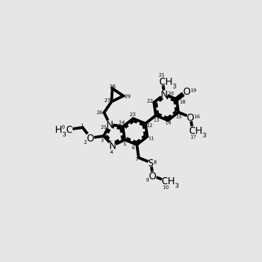 CCOc1nc2c(CSOC)cc(-c3cc(OC)c(=O)n(C)c3)cc2n1CC1CC1